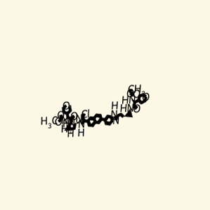 COC(=O)N[C@H](C(=O)N[C@@H]1C[C@@H]1CCc1nc2ccc(-c3ccc4cc(-c5[nH]c([C@@H]6C[C@H]7C[C@H]7N6C(=O)[C@@H](NC(=O)OC)C6CCOCC6)nc5Cl)ccc4c3)cc2[nH]1)C1CCOCC1